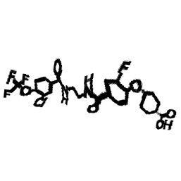 O=C(NCCNC(=O)c1ccc(OC(F)(F)F)c(Cl)c1)c1ccc(O[C@H]2CC[C@@H](C(=O)O)CC2)c(F)c1